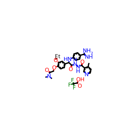 CCOc1cc(C(Nc2ccc(C(=N)N)cc2)C(=O)NNC(=O)c2cnccc2C)ccc1OCC(=O)N(C)C.O=C(O)C(F)(F)F